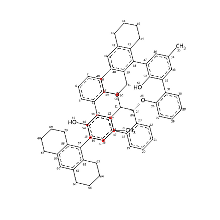 Cc1cc(-c2ccccc2OC2c3ccccc3-c3ccccc3[C@H]2Oc2ccccc2-c2cc(C)cc(-c3c4c(cc5c3CCCC5)CCCC4)c2O)c(O)c(-c2c3c(cc4c2CCCC4)CCCC3)c1